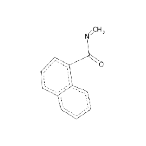 C=NC(=O)c1cccc2ccccc12